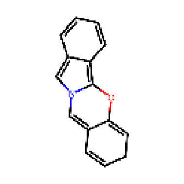 C1=CC2=Cn3cc4ccccc4c3OC2=CC1